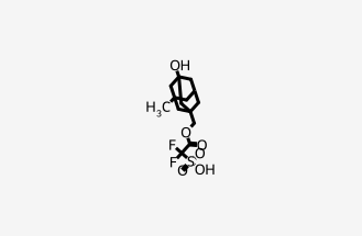 CC12CC3CC(O)(C1)CC(COC(=O)C(F)(F)S(=O)(=O)O)(C3)C2